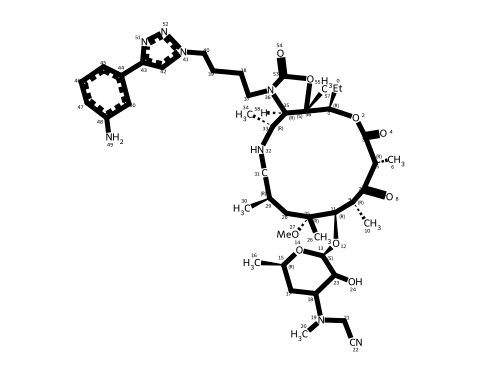 CC[C@H]1OC(=O)[C@H](C)C(=O)[C@H](C)[C@@H](O[C@@H]2O[C@H](C)CC(N(C)CC#N)C2O)[C@](C)(OC)C[C@@H](C)CN[C@H](C)[C@H]2N(CCCCn3cc(-c4cccc(N)c4)nn3)C(=O)O[C@]12C